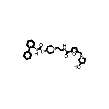 O=C(Nc1ccccc1-c1ccccc1)OC1CCN(CCNC(=O)c2ccc(CN3CCC(O)C3)o2)CC1